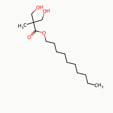 CCCCCCCCCCOC(=O)C(C)(CO)CO